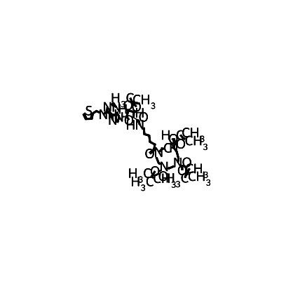 CC(C)(C)OC(=O)N1CCN(C(=O)CCCCCNC(=O)[C@H]2O[C@@H](n3cnc4c(NCc5cccs5)ncnc43)[C@@H]3OC(C)(C)O[C@H]32)CCN(C(=O)OC(C)(C)C)CCN(C(=O)OC(C)(C)C)CC1